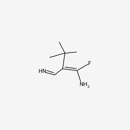 CC(C)(C)/C(C=N)=C(/N)F